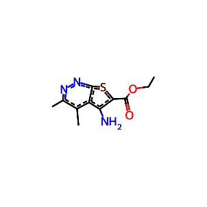 CCOC(=O)c1sc2nnc(C)c(C)c2c1N